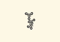 c1ccc(-c2nc(-c3ccccc3)nc(-c3ccc(-c4cccc5c4nc(-c4ccccc4)c4ccc6nc(-c7ccccc7)c(-c7ccccc7)nc6c45)cc3)n2)cc1